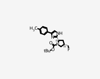 Cc1ccc(-c2c[nH]c([C@@H]3C[C@H](CF)CN3C(=O)OC(C)(C)C)n2)cc1